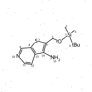 CC(C)(C)[Si](C)(C)OCc1sc2cnccc2c1N